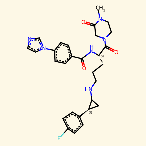 CN1CCN(C(=O)[C@H](CCCNC2C[C@H]2c2ccc(F)cc2)NC(=O)c2ccc(-n3ccnc3)cc2)CC1=O